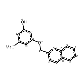 COc1cc(O)cc(OCc2ccc3ccccc3n2)c1